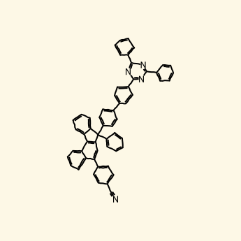 N#Cc1ccc(-c2cc3c(c4ccccc24)-c2ccccc2C3(c2ccccc2)c2ccc(-c3ccc(-c4nc(-c5ccccc5)nc(-c5ccccc5)n4)cc3)cc2)cc1